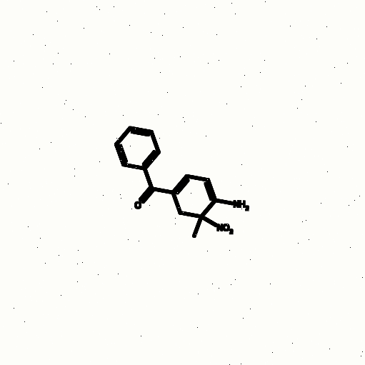 CC1([N+](=O)[O-])CC(C(=O)c2ccccc2)=CC=C1N